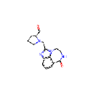 O=C[C@@H]1CCCN1Cc1nc2cccc3c2n1CCNC3=O